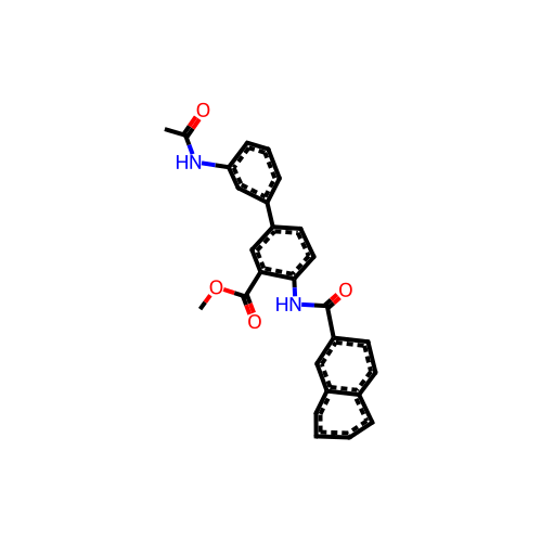 COC(=O)c1cc(-c2cccc(NC(C)=O)c2)ccc1NC(=O)c1ccc2ccccc2c1